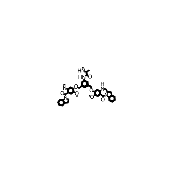 C=Nc1cc(OCc2cc(COc3cc4c(cc3OC)C(=O)N3c5ccccc5CC3CN4)cc(NC(=O)C(C)NC)c2)c(OC)cc1C(=O)N1CCc2ccccc21